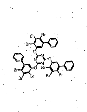 Brc1c(Oc2nc(Oc3cc(-c4ccccc4)c(Br)c(Br)c3Br)nc(Oc3cc(-c4ccccc4)c(Br)c(Br)c3Br)n2)cc(-c2ccccc2)c(Br)c1Br